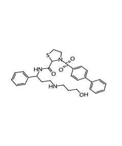 O=C(NC(CCNCCCO)c1ccccc1)C1SCCN1S(=O)(=O)c1ccc(-c2ccccc2)cc1